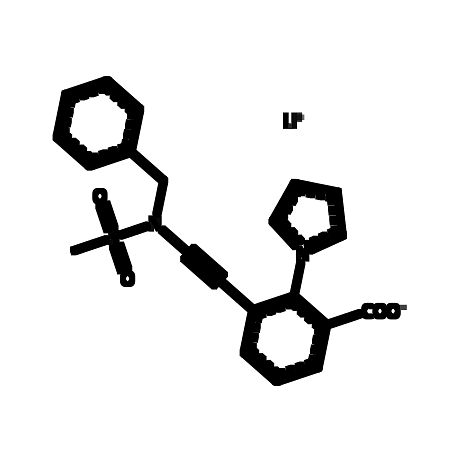 CS(=O)(=O)N(C#Cc1cccc(C(=O)[O-])c1-n1cccc1)Cc1ccccc1.[Li+]